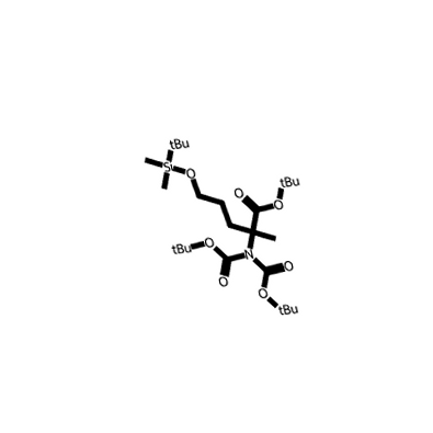 CC(C)(C)OC(=O)N(C(=O)OC(C)(C)C)C(C)(CCCO[Si](C)(C)C(C)(C)C)C(=O)OC(C)(C)C